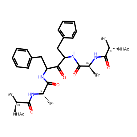 CC(=O)N[C@H](C(=O)N[C@H](C(=O)NC(Cc1ccccc1)C(=O)C(Cc1ccccc1)NC(=O)[C@@H](NC(=O)[C@@H](NC(C)=O)C(C)C)C(C)C)C(C)C)C(C)C